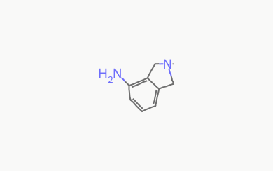 Nc1cccc2c1C[N]C2